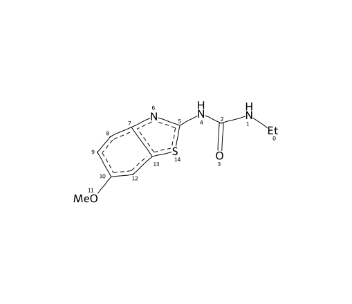 CCNC(=O)Nc1nc2ccc(OC)cc2s1